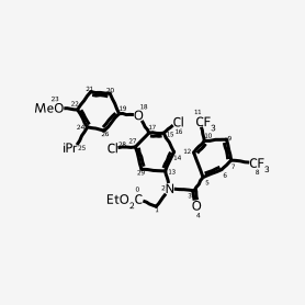 CCOC(=O)CN(C(=O)c1cc(C(F)(F)F)cc(C(F)(F)F)c1)c1cc(Cl)c(Oc2ccc(OC)c(C(C)C)c2)c(Cl)c1